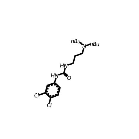 CCCCN(CCCC)CCCNC(=O)Nc1ccc(Cl)c(Cl)c1